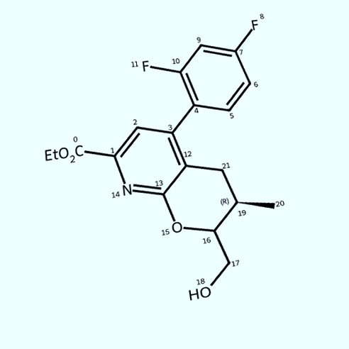 CCOC(=O)c1cc(-c2ccc(F)cc2F)c2c(n1)OC(CO)[C@H](C)C2